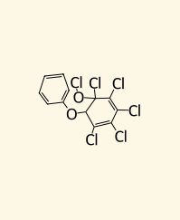 ClOC1(Cl)C(Cl)=C(Cl)C(Cl)=C(Cl)C1Oc1ccccc1